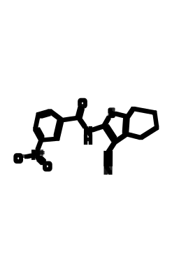 N#Cc1c(NC(=O)c2cccc([N+](=O)[O-])c2)sc2c1CCCC2